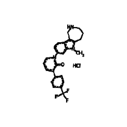 Cl.Cn1c2c(c3ccc(-n4cccc(-c5ccc(C(F)(F)F)cc5)c4=O)cc31)CNCCC2